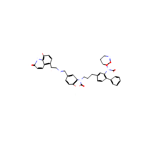 F.F.O=C(O)N(c1cc(CCCn2c(=O)oc3ccc(CNC[C@H](O)c4ccc(O)c5[nH]c(=O)ccc45)cc32)ccc1-c1ccccc1)C1CN2CCC1CC2